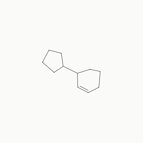 C1=CC(C2CCCC2)CCC1